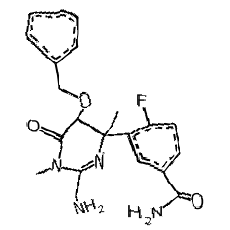 CN1C(=O)C(OCc2ccccc2)C(C)(c2cc(C(N)=O)ccc2F)N=C1N